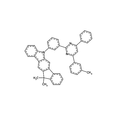 Cc1cccc(-c2cc(-c3ccccc3)nc(-c3cccc(-n4c5ccccc5c5cc6c(cc54)-c4ccccc4C6(C)C)c3)n2)c1